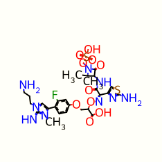 Cn1c(-c2ccc(OCC(ON=C(C(=O)NC3C(=O)N(OS(=O)(=O)O)C3(C)C)c3csc(N)n3)C(=O)O)cc2F)cn(CCCN)c1=N